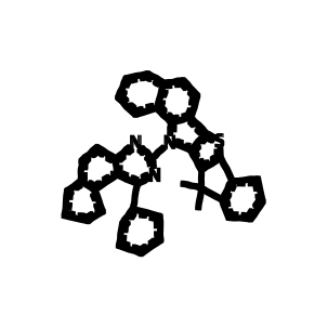 CC1(C)c2ccccc2-c2sc3c4ccc5ccccc5c4n(-c4nc(-c5ccccc5)c5c(ccc6ccccc65)n4)c3c21